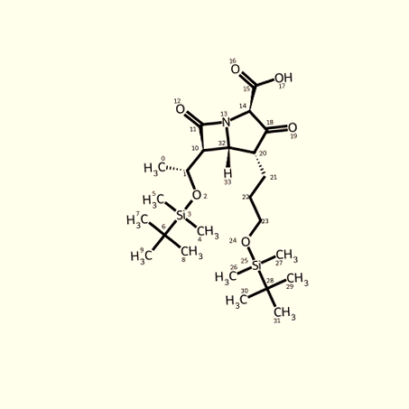 C[C@@H](O[Si](C)(C)C(C)(C)C)[C@H]1C(=O)N2[C@@H](C(=O)O)C(=O)[C@H](CCCO[Si](C)(C)C(C)(C)C)[C@H]12